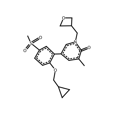 Cc1cc(-c2cc(S(C)(=O)=O)ccc2OCC2CC2)cn(CC2COC2)c1=O